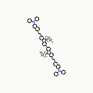 CC1(C)c2cc(/C=C/c3ccc4cc(N(c5ccccc5)c5ccccc5)ccc4c3)ccc2-c2ccc(-c3ccc4c(c3)C(C)(C)c3cc(/C=C/c5ccc6cc(N(c7ccccc7)c7ccccc7)ccc6c5)ccc3-4)cc21